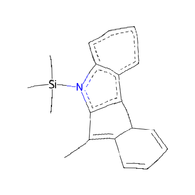 CC1=C2C=CC=CC2c2c1n([Si](C)(C)C)c1ccccc21